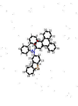 c1ccc(-c2ccccc2N(c2ccc3sc4ccccc4c3c2)c2ccc3c4ccccc4c4ccccc4c3c2)cc1